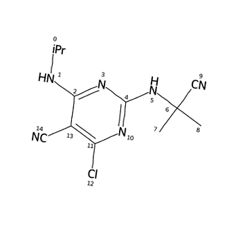 CC(C)Nc1nc(NC(C)(C)C#N)nc(Cl)c1C#N